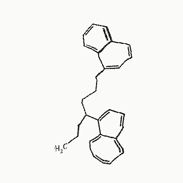 [CH2]CCC(CCCc1cccc2ccccc12)c1cccc2ccccc12